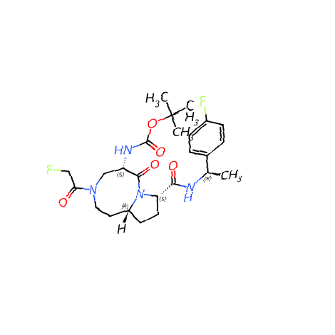 C[C@@H](NC(=O)[C@@H]1CC[C@@H]2CCN(C(=O)CF)C[C@H](NC(=O)OC(C)(C)C)C(=O)N21)c1ccc(F)cc1